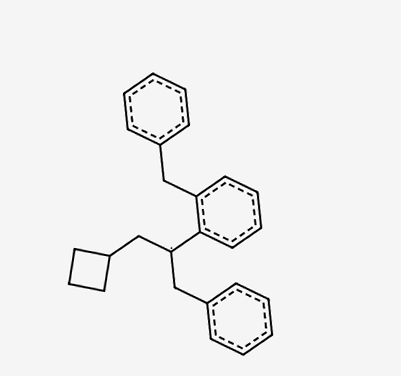 c1ccc(C[C](CC2CCC2)c2ccccc2Cc2ccccc2)cc1